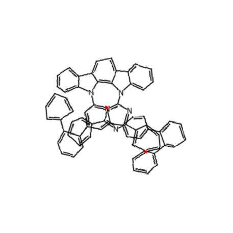 c1ccc(-c2nc(-c3ccccc3)nc(-n3c4ccccc4c4ccc5c6ccccc6n(-c6cc(-c7ccc(-c8ccccc8-c8ccccc8)cc7)cc(-c7ccccc7-c7ccccc7)c6)c5c43)n2)cc1